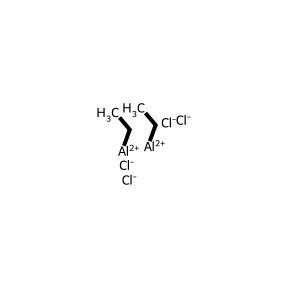 C[CH2][Al+2].C[CH2][Al+2].[Cl-].[Cl-].[Cl-].[Cl-]